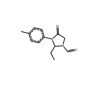 CCC1N(C=O)CC(=O)N1c1ccc(C)cc1